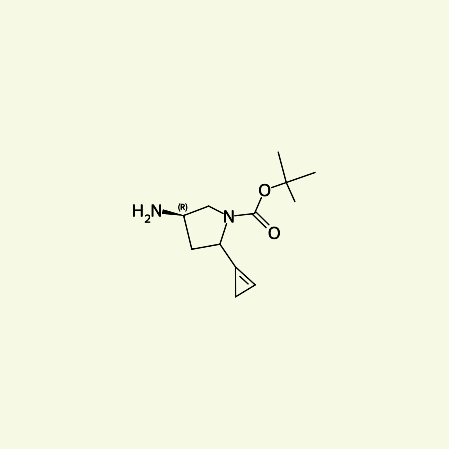 CC(C)(C)OC(=O)N1C[C@H](N)CC1C1=CC1